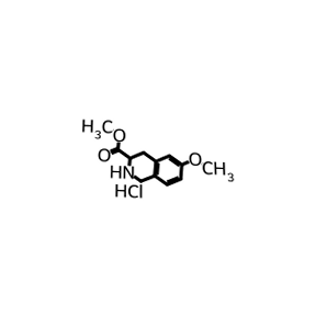 COC(=O)C1Cc2cc(OC)ccc2CN1.Cl